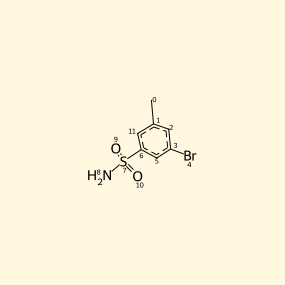 Cc1cc(Br)cc(S(N)(=O)=O)c1